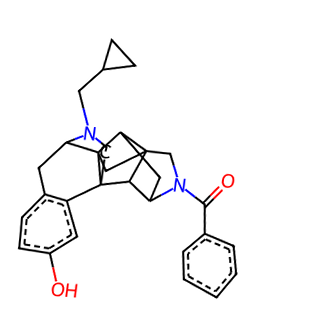 O=C(c1ccccc1)N1CC23CC45C6Cc7ccc(O)cc7C4(CCN6CC4CC4)C2C1CC35